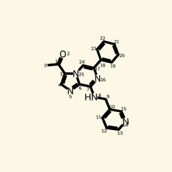 CC(=O)c1cnc2c(NCc3cccnc3)nc(-c3ccccc3)cn12